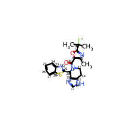 Cc1nc(C(C)(C)F)oc1C(=O)N1CCc2[nH]cnc2[C@H]1c1nc2ccccc2s1